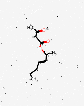 CCCC=CC(C)OC(=O)CC(C)=O